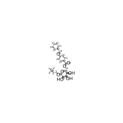 C[Si](C)(C)CCO[C@@H]1O[C@H](COC(=O)c2ccc(OCc3ccccc3)cc2)[C@@H](O)[C@H](O)[C@H]1O